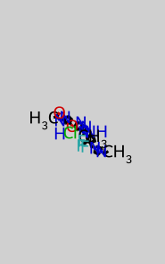 CCN1CCN(Cc2ccc(Nc3nc4ncc(Oc5ccnc(NC(C)=O)c5)c(Cl)c4n3C)cc2C(F)(F)F)CC1